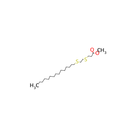 CCCCCCCCCCCCCCCSCCSCCC(=O)OC